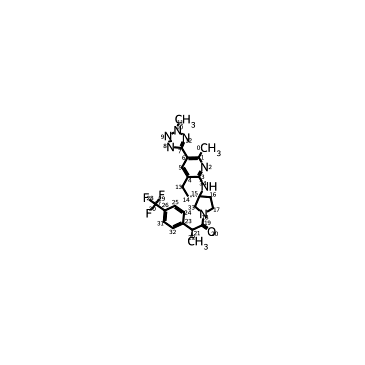 Cc1nc2c(cc1-c1nnn(C)n1)CC[C@@]1(CCN(C(=O)[C@@H](C)c3ccc(C(F)(F)F)cc3)C1)N2